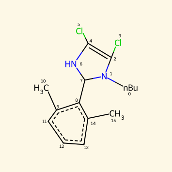 CCCCN1C(Cl)=C(Cl)NC1c1c(C)cccc1C